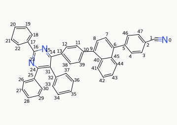 N#Cc1ccc(-c2ccc(-c3ccc(-c4nc(-c5ccccc5)nc(-c5ccccc5)c4-c4ccccc4)cc3)c3ccccc23)cc1